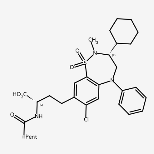 CCCCCC(=O)N[C@@H](CCc1cc2c(cc1Cl)N(c1ccccc1)C[C@@H](C1CCCCC1)N(C)S2(=O)=O)C(=O)O